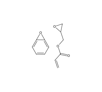 C=CC(=O)OCC1CO1.c1ccc2c(c1)O2